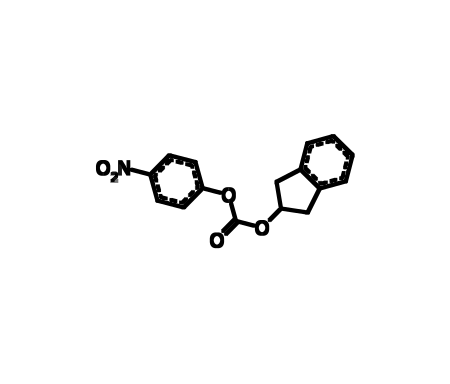 O=C(Oc1ccc([N+](=O)[O-])cc1)OC1Cc2ccccc2C1